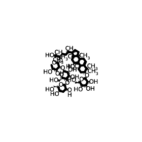 C[C@H](CC[C@@H](O[C@@H]1OC[C@@H](O)[C@H](O)[C@H]1O[C@H]1O[C@@H](CO)[C@H](O[C@H]2O[C@@H](CO)[C@H](O)C[C@@H]2O)[C@@H](O)[C@@H]1O)C(C)(C)O)C1CC[C@@]2(C)C3CC=C4C(CC[C@H](O[C@@H]5O[C@H](CO)[C@@H](O)[C@H](O)[C@H]5O)C4(C)C)[C@]3(C)[C@H](O)C[C@]12C